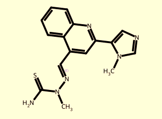 CN(/N=C/c1cc(-c2cncn2C)nc2ccccc12)C(N)=S